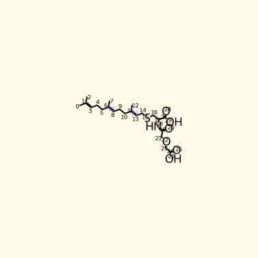 CC(C)=CCC/C(C)=C/CC/C(C)=C/CSCC(NC(=O)COCC(=O)O)C(=O)O